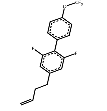 C=CCCc1cc(F)c(-c2ccc(OC(F)(F)F)cc2)c(F)c1